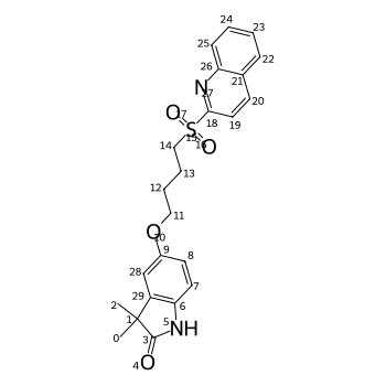 CC1(C)C(=O)Nc2ccc(OCCCCS(=O)(=O)c3ccc4ccccc4n3)cc21